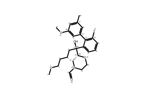 COCCCC[C@](O)(c1cccc(F)c1-c1cc(C)cc(OC)c1)[C@H]1CN(C=O)CCO1